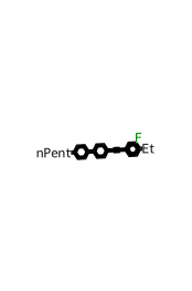 CCCCCC1CCC(C2CCC(C#Cc3ccc(CC)c(F)c3)CC2)CC1